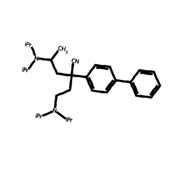 CC(C)N(CCC(C#N)(CC(C)N(C(C)C)C(C)C)c1ccc(-c2ccccc2)cc1)C(C)C